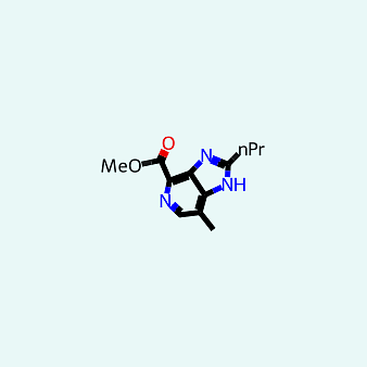 CCCc1nc2c(C(=O)OC)ncc(C)c2[nH]1